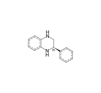 c1ccc([C@@H]2CNc3ccccc3N2)cc1